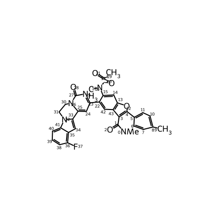 CNC(=O)c1c(-c2ccc(C)cc2)oc2cc(N(C)S(C)(=O)=O)c(-c3cc4n(c(=O)n3)CCn3c-4cc4c(F)cccc43)cc12